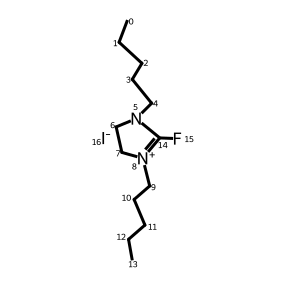 CCCCCN1CC[N+](CCCCC)=C1F.[I-]